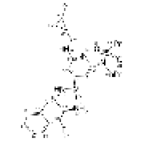 CCCN(c1cc(C(=O)N[C@@H](Cc2ccccc2)[C@@H](N)CF)cc(NCC2CC2C)n1)S(=O)(=O)C(C)C